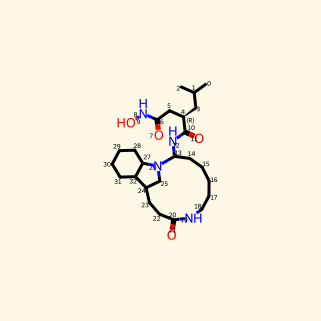 CC(C)C[C@H](CC(=O)NO)C(=O)NC1CCCCCNC(=O)CCC2CN1C1CCCCC21